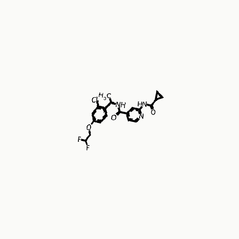 CC(NC(=O)c1ccnc(NC(=O)C2CC2)c1)c1ccc(OCC(F)F)cc1Cl